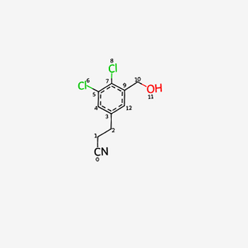 N#CCCc1cc(Cl)c(Cl)c(CO)c1